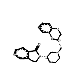 O=C1c2ccncc2CN1[C@H]1CCCN(C[C@H]2COc3ccccc3O2)C1